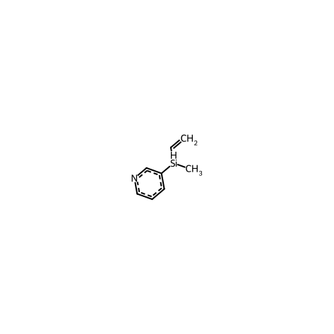 C=C[SiH](C)c1cccnc1